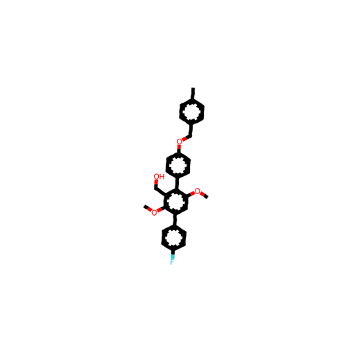 COc1cc(-c2ccc(F)cc2)c(OC)c(CO)c1-c1ccc(OCc2ccc(C)cc2)cc1